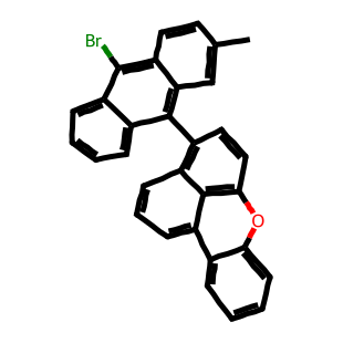 Cc1ccc2c(Br)c3ccccc3c(-c3ccc4c5c(cccc35)-c3ccccc3O4)c2c1